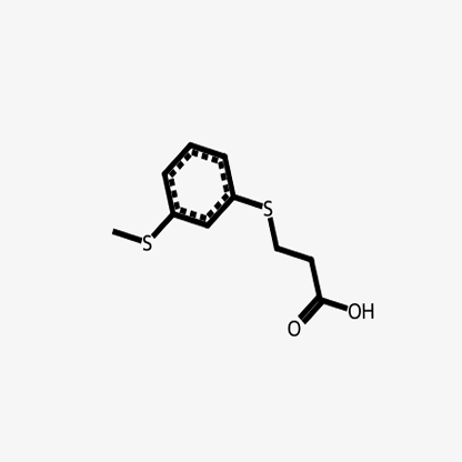 CSc1cccc(SCCC(=O)O)c1